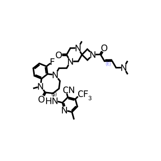 Cc1cc(C(F)(F)F)c(C#N)c(N[C@H]2CCN(CCN3CC4(CN(C(=O)/C=C/CN(C)C)C4)N(C)CC3=O)c3c(F)cccc3N(C)C2=O)n1